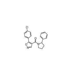 O=C(c1cnoc1-c1ccc(Cl)cc1)N1CCCC1c1ccccc1